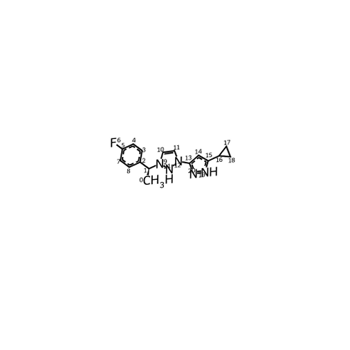 C[C@@H](c1ccc(F)cc1)N1C=CN(c2cc(C3CC3)[nH]n2)N1